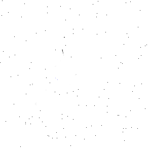 CCC[C@@H](OC=O)N1C(=O)[C@@H](Cc2ccc(F)cc2)O[C@H](c2ccc(Cl)c(F)c2)[C@@H]1c1ccc(Cl)cc1